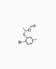 Cc1ccc(Br)c(SC(C)OC=S)c1